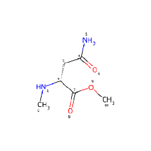 CN[C@H](CC(N)=O)C(=O)OC